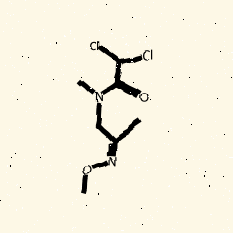 CON=C(C)CN(C)C(=O)C(Cl)Cl